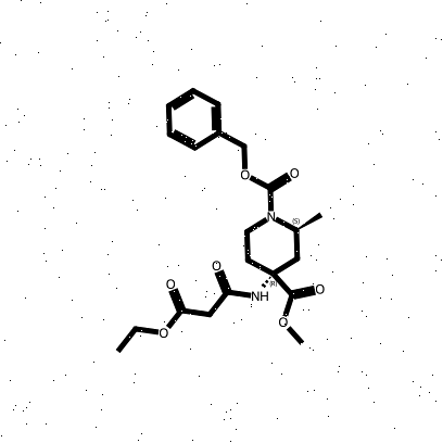 CCOC(=O)CC(=O)N[C@]1(C(=O)OC)CCN(C(=O)OCc2ccccc2)[C@@H](C)C1